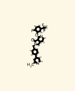 Cc1cc(-c2ccc(CN3Cc4ccnc(Oc5cc(C(F)(F)F)ccc5F)c4C3=O)cc2)ccn1